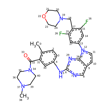 Cc1ccc(Nc2ncc3ccn(-c4cc(F)c(CN5CCOCC5)c(F)c4)c3n2)cc1C(=O)N1CCN(C)CC1